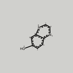 Oc1ccc2nccnc2c1